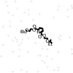 CCC(C)OCCOC(=O)c1cccc(C(=O)OCCOC(C)(C)CC)n1